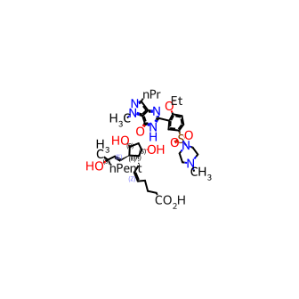 CCCCC[C@](C)(O)/C=C/[C@@H]1[C@@H](C/C=C\CCCC(=O)O)[C@@H](O)C[C@H]1O.CCCc1nn(C)c2c(=O)[nH]c(-c3cc(S(=O)(=O)N4CCN(C)CC4)ccc3OCC)nc12